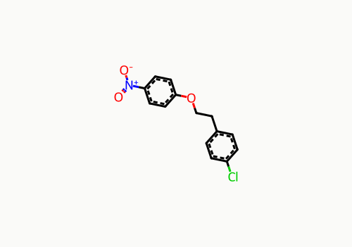 O=[N+]([O-])c1ccc(OCCc2ccc(Cl)cc2)cc1